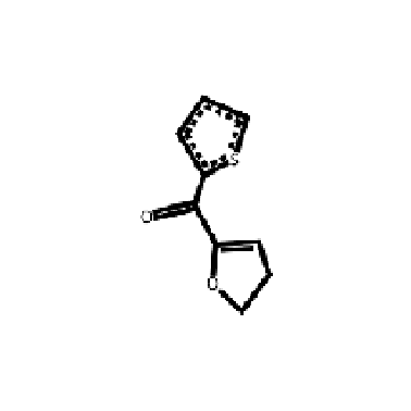 O=C(C1=CCCO1)c1cccs1